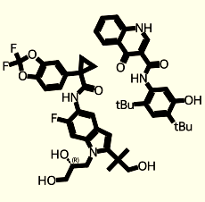 CC(C)(C)c1cc(C(C)(C)C)c(NC(=O)c2c[nH]c3ccccc3c2=O)cc1O.CC(C)(CO)c1cc2cc(NC(=O)C3(c4ccc5c(c4)OC(F)(F)O5)CC3)c(F)cc2n1C[C@@H](O)CO